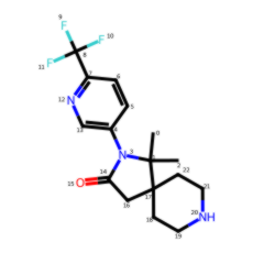 CC1(C)N(c2ccc(C(F)(F)F)nc2)C(=O)CC12CCNCC2